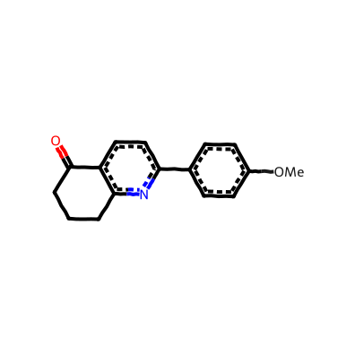 COc1ccc(-c2ccc3c(n2)CCCC3=O)cc1